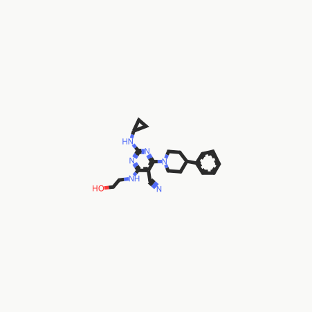 N#Cc1c(NCCO)nc(NC2CC2)nc1N1CCC(c2ccccc2)CC1